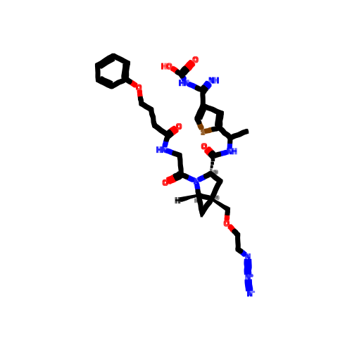 CC(NC(=O)[C@@H]1C[C@]2(COCCN=[N+]=[N-])C[C@@H]2N1C(=O)CNC(=O)CCCOc1ccccc1)c1cc(C(=N)NC(=O)O)cs1